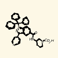 O=C(NC1CCCN(C(=O)O)C1)c1ccc2c(c1)c(-c1ccncc1)nn2C(c1ccccc1)(c1ccccc1)c1ccccc1